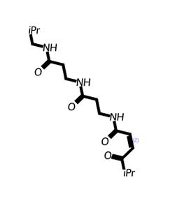 CC(C)CNC(=O)CCNC(=O)CCNC(=O)/C=C\C(=O)C(C)C